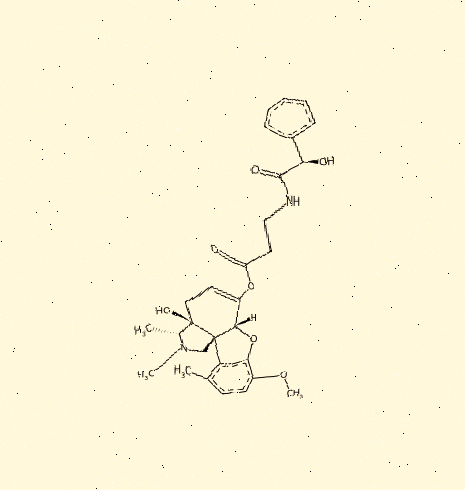 COc1ccc(C)c2c1O[C@H]1C(OC(=O)CCNC(=O)[C@H](O)c3ccccc3)=CC[C@@]3(O)[C@@H](C)N(C)CC[C@]213